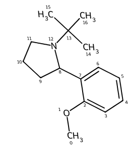 COc1ccccc1C1CCCN1C(C)(C)C